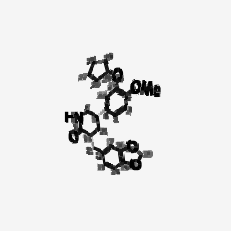 COc1ccc([C@H]2CNC(=O)[C@@H](Cc3ccc4c(c3)OCO4)C2)cc1OC1CCCC1